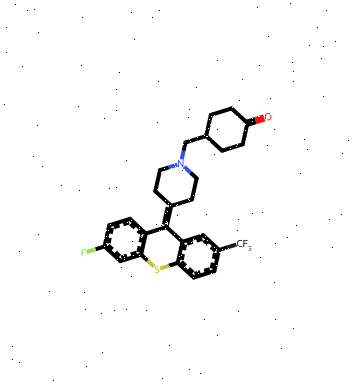 O=C1CCC(CN2CCC(=C3c4ccc(F)cc4Sc4ccc(C(F)(F)F)cc43)CC2)CC1